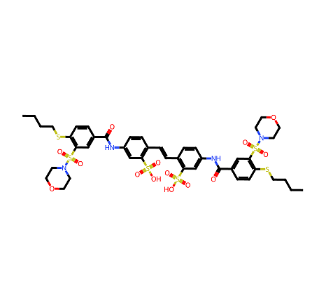 CCCCSc1ccc(C(=O)Nc2ccc(C=Cc3ccc(NC(=O)c4ccc(SCCCC)c(S(=O)(=O)N5CCOCC5)c4)cc3S(=O)(=O)O)c(S(=O)(=O)O)c2)cc1S(=O)(=O)N1CCOCC1